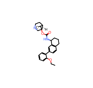 CCOc1ccccc1-c1ccc2c(c1)C(NC(=O)O[C@H]1CN3CCC1CC3)CCC2